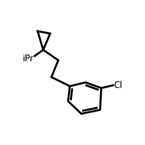 CC(C)C1(CCc2cccc(Cl)c2)CC1